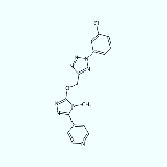 Cn1c(OCc2nnn(-c3cccc(Cl)c3)n2)nnc1-c1ccncc1